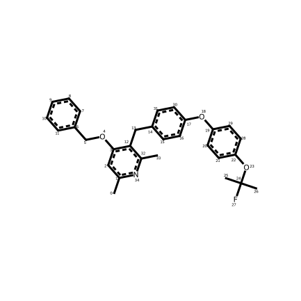 Cc1cc(OCc2ccccc2)c(Cc2ccc(Oc3ccc(OC(C)(C)F)cc3)cc2)c(C)n1